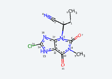 CCC(C#N)n1c(=O)n(C)c(=O)c2[nH]c(Cl)nc21